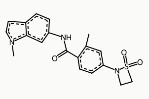 Cc1cc(N2CCS2(=O)=O)ccc1C(=O)Nc1ccc2ccn(C)c2c1